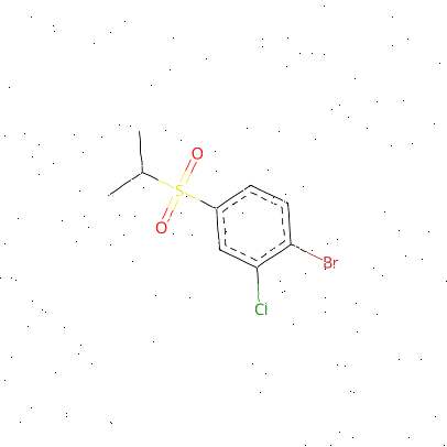 CC(C)S(=O)(=O)c1ccc(Br)c(Cl)c1